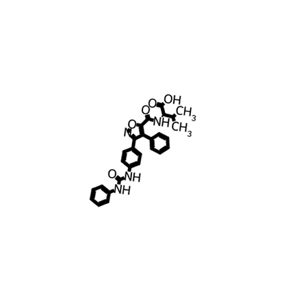 CC(C)[C@H](NC(=O)c1onc(-c2ccc(NC(=O)Nc3ccccc3)cc2)c1-c1ccccc1)C(=O)O